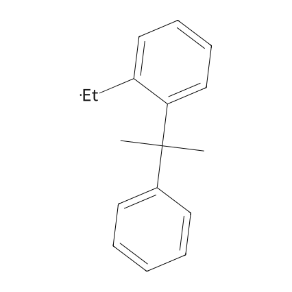 C[CH]c1ccccc1C(C)(C)c1ccccc1